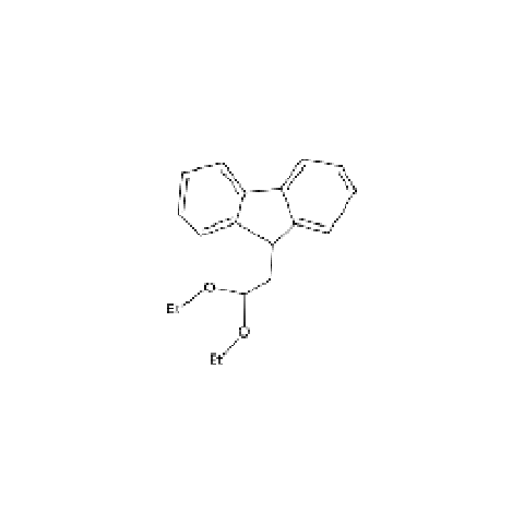 CCOC(CC1c2ccccc2-c2ccccc21)OCC